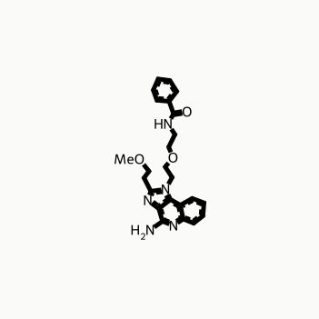 COCCc1nc2c(N)nc3ccccc3c2n1CCOCCNC(=O)c1ccccc1